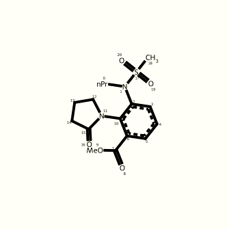 CCCN(c1cccc(C(=O)OC)c1N1CCCC1=O)S(C)(=O)=O